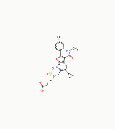 CNC(=O)c1c(-c2ccc(C)cc2)oc2nc(CN(CCCC(=O)O)[SH](=O)=O)c(C3CC3)cc12